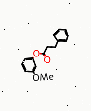 COc1cccc(OC(=O)CCc2ccccc2)c1